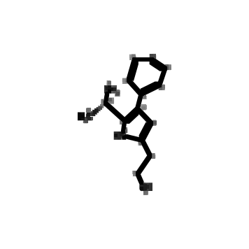 C[C@H](N)c1[nH]c(CCO)cc1-c1ccccc1